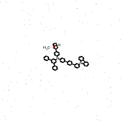 C[C@H]1CC2C[C@H]3CC(c4ccc(N(c5ccc(-c6ccc(-c7cccc(-n8c9ccccc9c9ccccc98)c7)cc6)cc5)c5cc(-c6ccccc6)cc(-c6ccccc6)c5)cc4)(CC23)C1